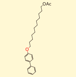 CC(=O)OCCCCCCCCCCCCOc1ccc(-c2ccccc2)cc1